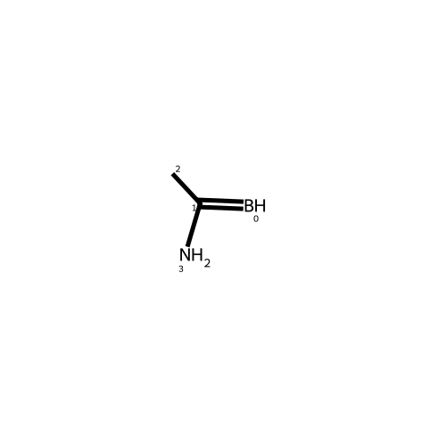 B=C(C)N